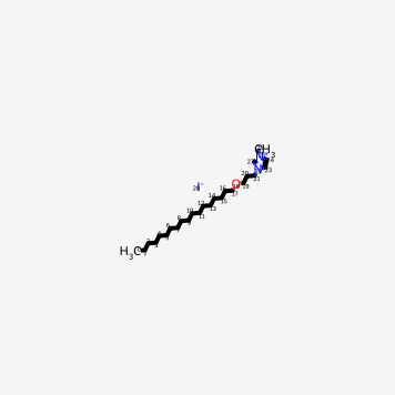 CCCCCCCCCCCCCCCCCCOCCCn1cc[n+](C)c1.[I-]